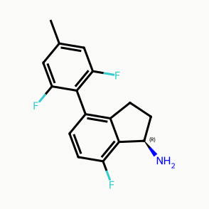 Cc1cc(F)c(-c2ccc(F)c3c2CC[C@H]3N)c(F)c1